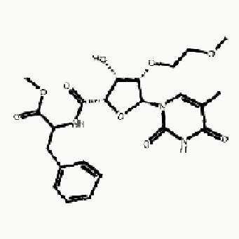 COCCO[C@H]1[C@@H](O)[C@@H](C(=O)NC(Cc2ccccc2)C(=O)OC)O[C@@H]1n1cc(C)c(=O)[nH]c1=O